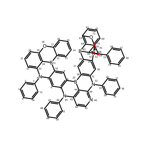 c1ccc(N2c3cc4c(cc3B3c5ccccc5Oc5cccc2c53)B2c3cc5c(cc3N(c3ccccc3)c3nccc(c32)N4c2ccccc2)N(c2ccccc2)c2cccc3c2B5c2ccccc2O3)cc1